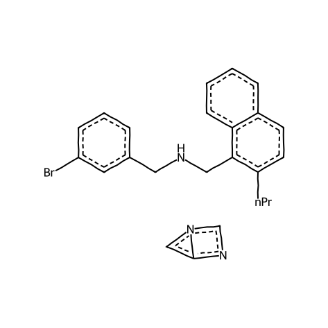 CCCc1ccc2ccccc2c1CNCc1cccc(Br)c1.c1nc2cn1-2